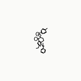 CCc1cc2c(n1Cc1ccccc1)CCC([S+]([O-])c1ccc(C)cc1)C2=O